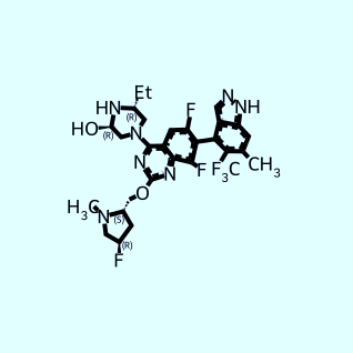 CC[C@@H]1CN(c2nc(OC[C@@H]3C[C@@H](F)CN3C)nc3c(F)c(-c4c(C(F)(F)F)c(C)cc5[nH]ncc45)c(F)cc23)C[C@@H](O)N1